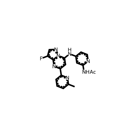 CC(=O)Nc1cc(Nc2cc(-c3cccc(C)n3)nc3c(F)cnn23)ccn1